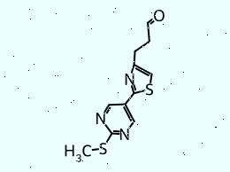 CSc1ncc(-c2nc(CCC=O)cs2)cn1